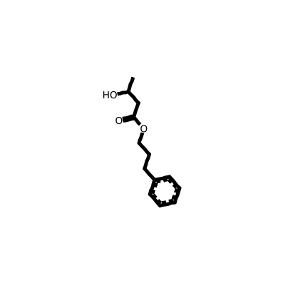 CC(O)CC(=O)OCCCc1ccccc1